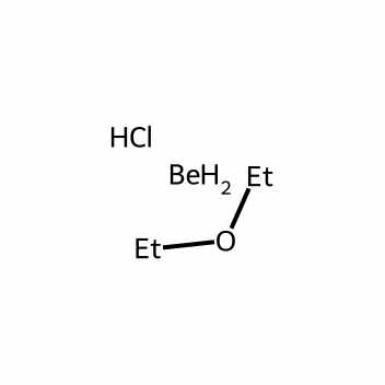 CCOCC.Cl.[BeH2]